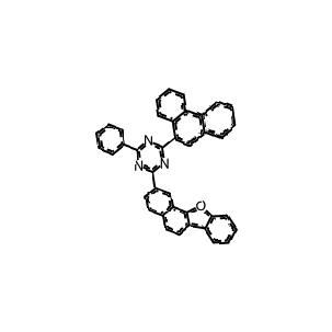 c1ccc(-c2nc(-c3ccc4ccc5c6ccccc6oc5c4c3)nc(-c3cc4ccccc4c4ccccc34)n2)cc1